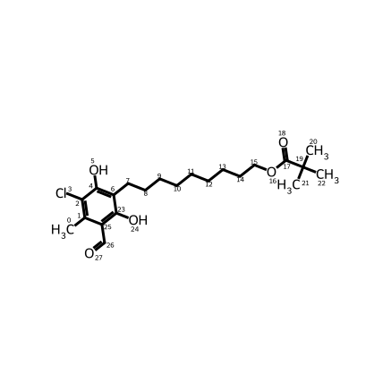 Cc1c(Cl)c(O)c(CCCCCCCCCOC(=O)C(C)(C)C)c(O)c1C=O